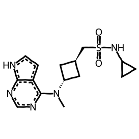 CN(c1ncnc2[nH]ccc12)[C@H]1C[C@H](CS(=O)(=O)NC2CC2)C1